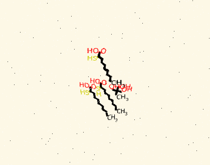 CCC(CO)(CO)CO.CCCCCCCCCC(S)C(=O)O.CCCCCCCCCC(S)C(=O)O.CCCCCCCCCC(S)C(=O)O